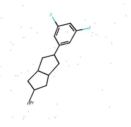 CCCC1CC2CC(c3cc(F)cc(F)c3)CC2C1